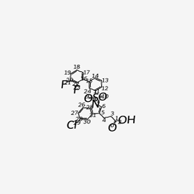 O=C(O)CCc1cn(S(=O)(=O)c2cccc(-c3cccc(F)c3F)c2)c2ccc(Cl)cc12